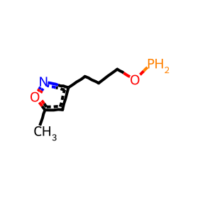 Cc1cc(CCCOP)no1